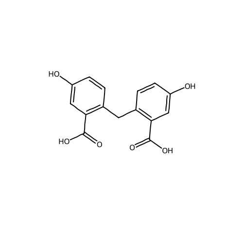 O=C(O)c1cc(O)ccc1Cc1ccc(O)cc1C(=O)O